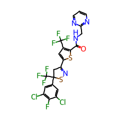 O=C(NCc1ncccn1)c1sc(C2=NSC(c3cc(Cl)c(F)c(Cl)c3)(C(F)(F)F)C2)cc1C(F)(F)F